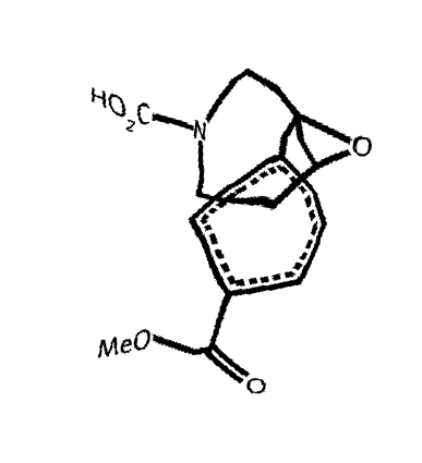 COC(=O)c1ccc(C23CN(C(=O)O)CCC2O3)cc1